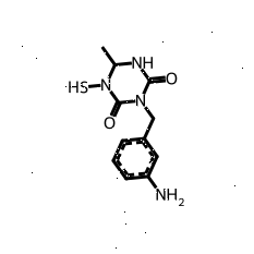 CC1NC(=O)N(Cc2cccc(N)c2)C(=O)N1S